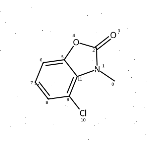 Cn1c(=O)oc2c[c]cc(Cl)c21